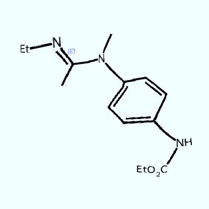 CC/N=C(\C)N(C)c1ccc(NC(=O)OCC)cc1